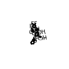 COC(=O)CO[C@@H]1[C@@H](n2cc(-c3cc(F)c(F)c(F)c3)nn2)[C@@H](O)[C@@H](CO)O[C@@H]1CC1=NOC2(CCCCC2)C1